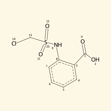 O=C(O)c1ccccc1NS(=O)(=O)CCl